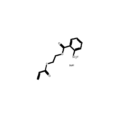 C=CC(=O)OCCOC(=O)c1ccccc1S(=O)(=O)O.[NaH]